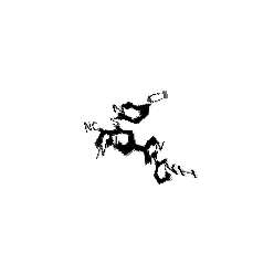 N#Cc1cnn2cc(-c3cnn(C4CCCNC4)c3)cc(Sc3ccc(Cl)cn3)c12